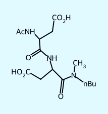 CCCCN(C)C(=O)C(CC(=O)O)NC(=O)C(CC(=O)O)NC(C)=O